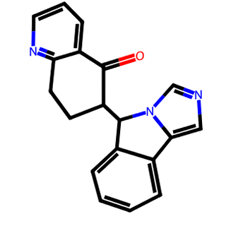 O=C1c2cccnc2CCC1C1c2ccccc2-c2cncn21